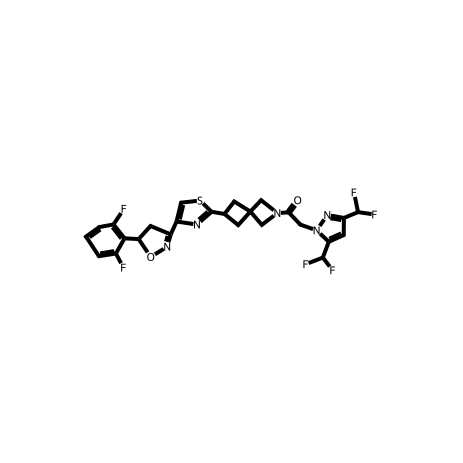 O=C(Cn1nc(C(F)F)cc1C(F)F)N1CC2(CC(c3nc(C4=NOC(c5c(F)cccc5F)C4)cs3)C2)C1